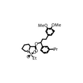 CCS(=O)(=O)N1CCCCC1C(=O)OC(CCc1ccc(OC)c(OC)c1)c1cccc(C(C)C)c1